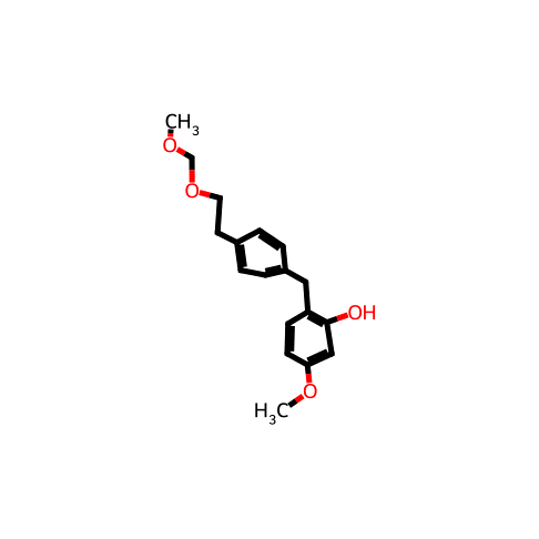 COCOCCc1ccc(Cc2ccc(OC)cc2O)cc1